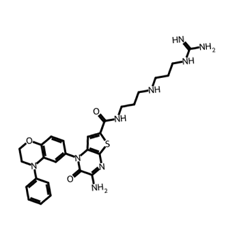 N=C(N)NCCCNCCCNC(=O)c1cc2c(nc(N)c(=O)n2-c2ccc3c(c2)N(c2ccccc2)CCO3)s1